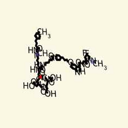 C/N=C/[C@H]1CC(F)(F)CN1C(=O)CNC(=O)c1ccnc2ccc(OCCCCC3CCN(C(=O)CCCCCNC(=O)[C@H](CCCC/N=C(\C)NC(=O)CCCc4ccc(C)cc4)NC(=O)CN4CCN(CC(=O)O)CCN(CC(=O)O)CCN(CC(=O)O)CC4)CC3)cc12